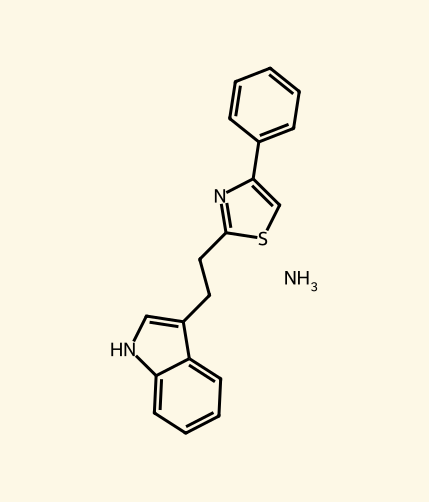 N.c1ccc(-c2csc(CCc3c[nH]c4ccccc34)n2)cc1